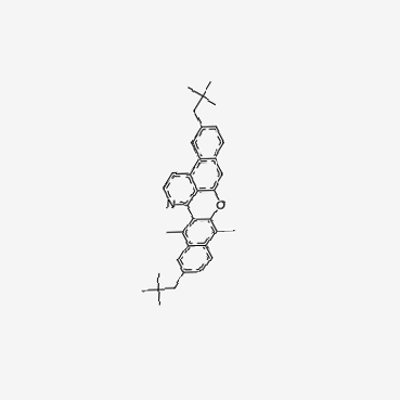 Cc1c2c(c(C)c3cc(CC(C)(C)C)ccc13)-c1nccc3c1c(cc1ccc(CC(C)(C)C)cc13)O2